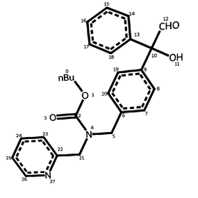 CCCCOC(=O)N(Cc1ccc(C(O)(C=O)c2ccccc2)cc1)Cc1ccccn1